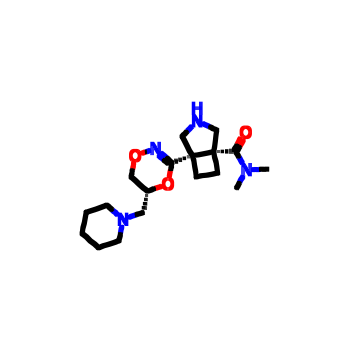 CN(C)C(=O)[C@]12CC[C@@]1(C1=NOC[C@@H](CN3CCCCC3)O1)CNC2